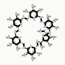 OC[C@H]1O[C@H](OC[C@H]2O[C@H](OC[C@H]3O[C@H](OC[C@H]4O[C@H](OC[C@H]5O[C@H](O[C@]6(CO)O[C@H](CO)[C@@H](O)[C@@H]6O)[C@H](O)[C@@H](O)[C@@H]5O)[C@H](O)[C@@H](O)[C@H]4O)[C@H](O)[C@@H](O)[C@H]3O)[C@H](O)[C@@H](O)[C@H]2O)[C@H](O)[C@@H](O)[C@H]1O